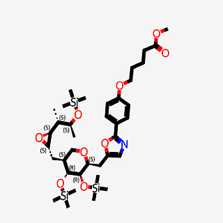 COC(=O)CCCCOc1ccc(-c2ncc(C[C@@H]3OC[C@H](C[C@@H]4O[C@H]4[C@H](C)[C@H](C)O[Si](C)(C)C)[C@@H](O[Si](C)(C)C)[C@@H]3O[Si](C)(C)C)o2)cc1